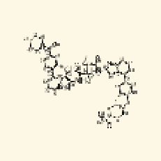 CS(=O)(=O)C1CCN(Cc2ccc(-c3cccn4nc(NC(=O)C5(C6(C(=O)Nc7nn8cccc(-c9ccc(C(=O)N%10CCCCC%10)cc9)c8c7Cl)CC6)CC5)cc34)cc2)CC1